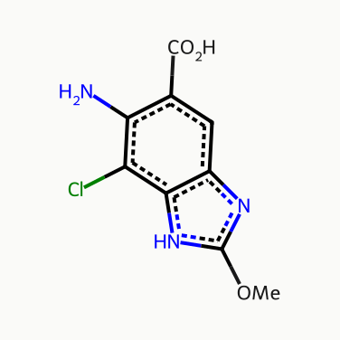 COc1nc2cc(C(=O)O)c(N)c(Cl)c2[nH]1